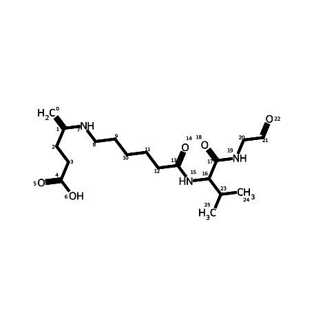 C=C(CCC(=O)O)NCCCCCC(=O)NC(C(=O)NCC=O)C(C)C